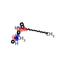 CCCCCCCCCCCCCCCCCCOc1cc2ccccc2c(NS(=O)(=O)c2ccc(N=Nc3c(C)[nH]n(-c4ccccc4)c3=O)cc2)c1O